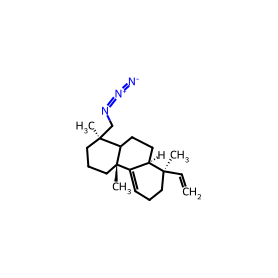 C=C[C@@]1(C)CCC=C2[C@H]1CCC1[C@](C)(CN=[N+]=[N-])CCC[C@@]21C